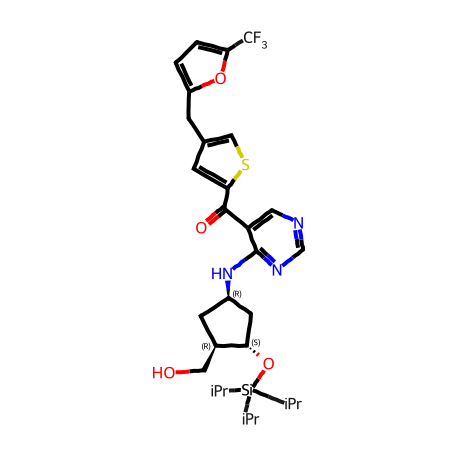 CC(C)[Si](O[C@H]1C[C@H](Nc2ncncc2C(=O)c2cc(Cc3ccc(C(F)(F)F)o3)cs2)C[C@@H]1CO)(C(C)C)C(C)C